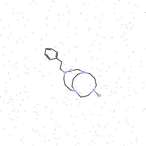 CCN1CCCN2CCCN(CCCN(CCc3ccccc3)CC2)CC1